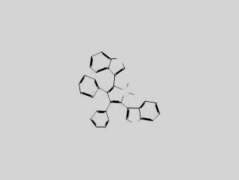 C[Si]1(C)C(c2csc3ccccc23)=C(c2ccccc2)C(c2ccccc2)=C1c1csc2ccccc12